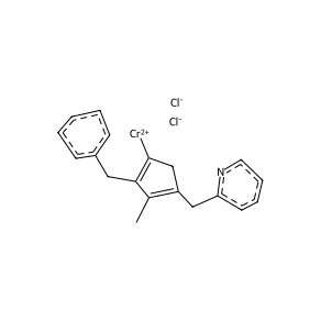 CC1=C(Cc2ccccn2)C[C]([Cr+2])=C1Cc1ccccc1.[Cl-].[Cl-]